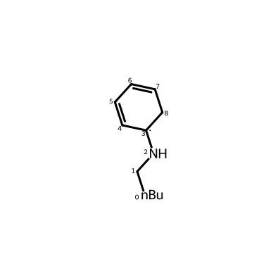 CCCCCN[C]1C=CC=CC1